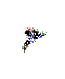 Cn1nc(C(F)(F)F)cc1-c1c(F)cc(O)c2c1C(C)(C)CN2c1ccccc1NC(=O)Nc1ccc(OC(F)(F)F)cc1